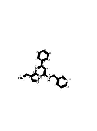 N=Cc1cnn2c(NCc3cccnc3)cc(-c3ccccc3)nc12